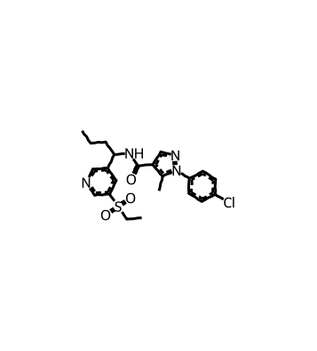 CCCC(NC(=O)c1cnn(-c2ccc(Cl)cc2)c1C)c1cncc(S(=O)(=O)CC)c1